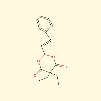 CCC1(CC)C(=O)OC(C=Cc2ccccc2)OC1=O